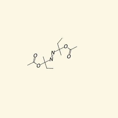 CCC(C)(N=NC(C)(CC)OC(C)=O)OC(C)=O